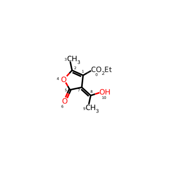 CCOC(=O)C1=C(C)OC(=O)C1=C(C)O